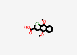 COc1c(Cl)c(/C=C(\C)C(=O)O)c(OC)c2ccccc12